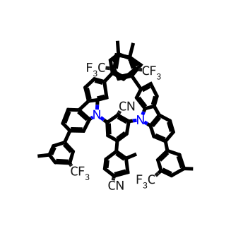 Cc1cc(-c2ccc3c4ccc(-c5cc(C)cc(C(F)(F)F)c5)cc4n(-c4cc(-c5ccc(C#N)cc5C)cc(-n5c6cc(-c7cc(C)cc(C(F)(F)F)c7)ccc6c6ccc(-c7cc(C)cc(C(F)(F)F)c7)cc65)c4C#N)c3c2)cc(C(F)(F)F)c1